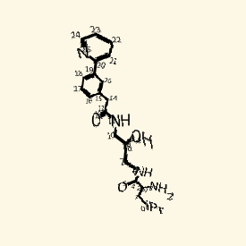 CC(C)C[C@H](N)C(=O)NCC(O)CNC(=O)Cc1cccc(-c2ccccn2)c1